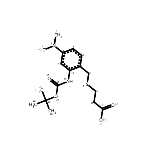 CN(C)c1ccc(CSCCC(=O)O)c(NC(=O)OC(C)(C)C)c1